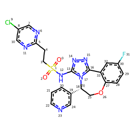 O=S(=O)(CCc1ncc(Cl)cn1)Nc1nnc2n1[C@@H](c1cccnc1)COc1ccc(F)cc1-2